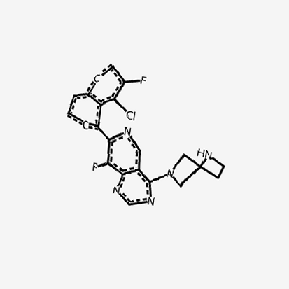 Fc1ccc2cccc(-c3ncc4c(N5CC6(CCN6)C5)ncnc4c3F)c2c1Cl